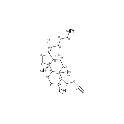 C#CCC[C@@]1(C)C(O)CCC2[C@@H]3CC[C@H]([C@H](C)CCCC(C)C)[C@@]3(C)CC[C@@H]21